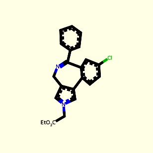 CCOC(=O)Cn1cc2c(c1)-c1ccc(Cl)cc1C(c1ccccc1)=NC2